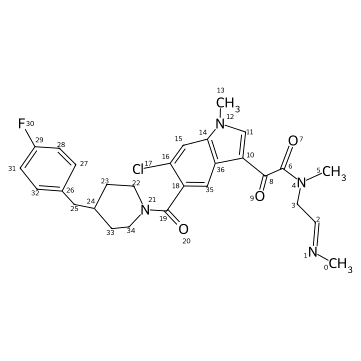 C/N=C/CN(C)C(=O)C(=O)c1cn(C)c2cc(Cl)c(C(=O)N3CCC(Cc4ccc(F)cc4)CC3)cc12